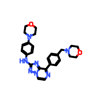 c1cn2nc(Nc3ccc(N4CCOCC4)cc3)nc2c(-c2ccc(CN3CCOCC3)cc2)n1